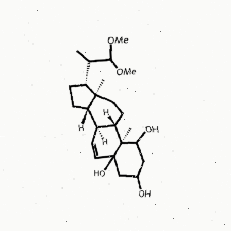 COC(OC)C(C)[C@H]1CC[C@H]2[C@@H]3C=CC4(O)CC(O)CC(O)[C@]4(C)[C@H]3CC[C@]12C